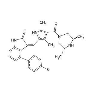 Cc1[nH]c(C=C2C(=O)Nc3cccc(-c4ccc(Br)cc4)c32)c(C)c1C(=O)N1C[C@@H](C)N[C@H](C)C1